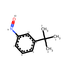 CC(C)(C)c1cccc(N=O)c1